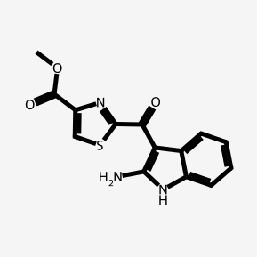 COC(=O)c1csc(C(=O)c2c(N)[nH]c3ccccc23)n1